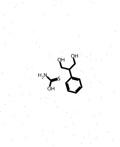 NC(O)=S.OCC(CO)c1ccccc1